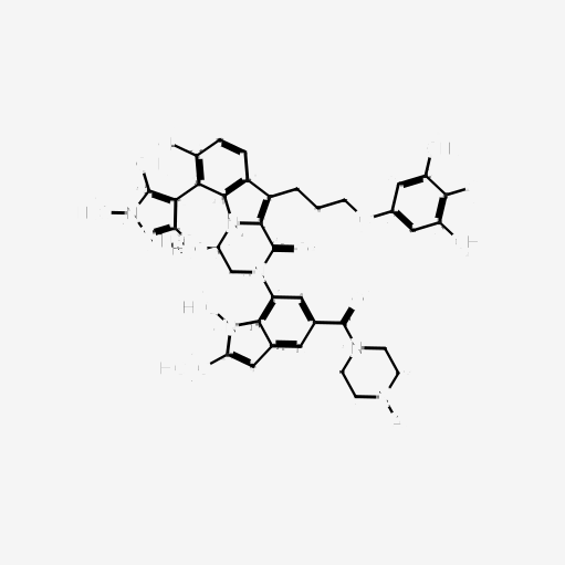 CC(=O)N1CCN(C(=O)c2cc(N3C[C@@H](C)n4c(c(CCCOc5cc(C)c(Cl)c(C)c5)c5ccc(Cl)c(-c6c(C)nn(C)c6C)c54)C3=O)c3c(c2)cc(C(=O)O)n3C)CC1